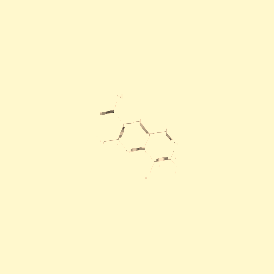 NC(=O)c1cc2cnc(Cl)c(F)c2nc1N